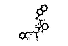 N#CC(COCc1ccccc1Cl)NC(=O)C1(OC(=O)Nc2ccc3ccccc3c2)CCCCC1